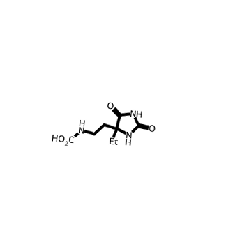 CCC1(CCNC(=O)O)NC(=O)NC1=O